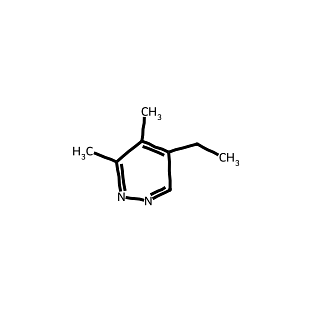 CCc1cnnc(C)c1C